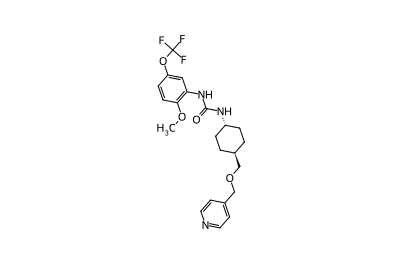 COc1ccc(OC(F)(F)F)cc1NC(=O)N[C@H]1CC[C@H](COCc2ccncc2)CC1